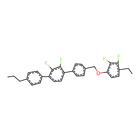 CCCc1ccc(-c2ccc(-c3ccc(COc4ccc(CC)c(F)c4F)cc3)c(F)c2F)cc1